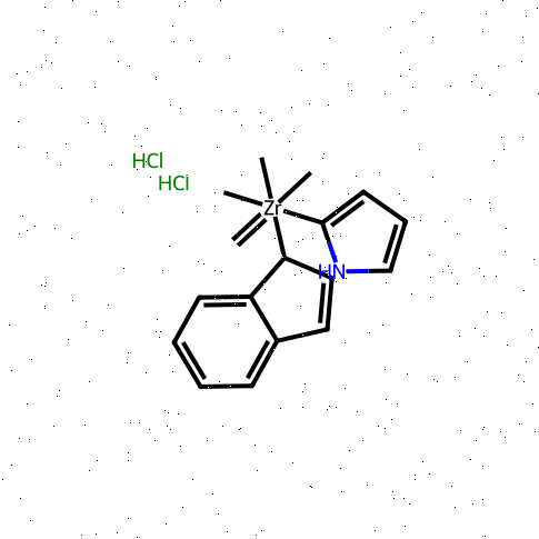 Cl.Cl.[CH2]=[Zr]([CH3])([CH3])([CH3])([c]1ccc[nH]1)[CH]1C=Cc2ccccc21